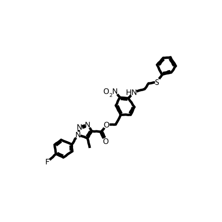 Cc1c(C(=O)OCc2ccc(NCCSc3ccccc3)c([N+](=O)[O-])c2)nnn1-c1ccc(F)cc1